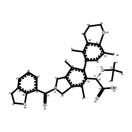 Cc1c(-c2c(C)c3c(c(C)c2[C@H](OC(C)(C)C)C(=O)O)CN(C(=O)c2cccc4c2OCC4)C3)cc(F)c2c1CCCO2